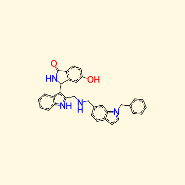 O=C1NC(c2c(CNCc3ccc4ccn(Cc5ccccc5)c4c3)[nH]c3ccccc23)c2cc(O)ccc21